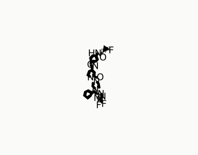 O=C(Nc1ccc2oc(-c3ccnc(C(=O)N4CCN([C@@H](c5ccccc5)c5nnn(C(F)F)n5)CC4)c3)nc2c1)[C@@H]1C[C@@H]1F